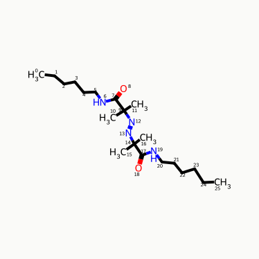 CCCCCCNC(=O)C(C)(C)N=NC(C)(C)C(=O)NCCCCCC